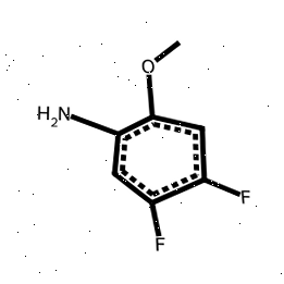 COc1cc(F)c(F)cc1N